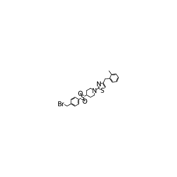 Cc1ccccc1Cc1csc(N2CCC(S(=O)(=O)c3ccc(CBr)cc3)CC2)n1